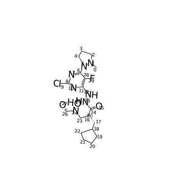 CN1CCCN1c1nc(Cl)nc(NNC(=O)[C@H](CC2CCCC2)CN(O)C=O)c1F